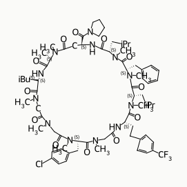 CC[C@H](C)[C@@H]1NC(=O)[C@H](C)N(C)C(=O)C[C@@H](C(=O)N2CCCC2)NC(=O)[C@H](CC(C)C)N(C)C(=O)[C@H](Cc2ccccc2)N(C)C(=O)[C@H](CC(C)C)N(C)C(=O)[C@H](CCc2ccc(C(F)(F)F)cc2)NC(=O)CN(C)C(=O)[C@H](Cc2ccc(Cl)cc2)N(C)C(=O)CN(C)C(=O)CN(C)C1=O